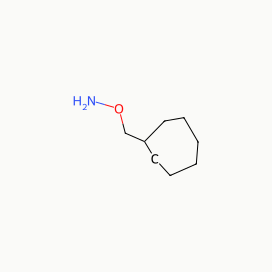 NOCC1CCCCCC1